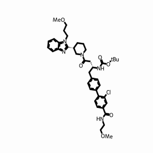 COCCCn1c([C@@H]2CCCN(C(=O)C[C@@H](Cc3ccc(-c4ccc(C(=O)NCCOC)cc4Cl)cc3)NC(=O)OC(C)(C)C)C2)nc2ccccc21